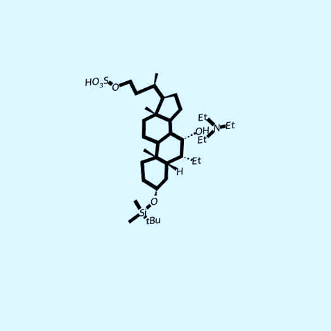 CCN(CC)CC.CC[C@H]1[C@@H](O)C2C3CC[C@H]([C@H](C)CCOS(=O)(=O)O)[C@@]3(C)CCC2[C@@]2(C)CC[C@@H](O[Si](C)(C)C(C)(C)C)C[C@@H]12